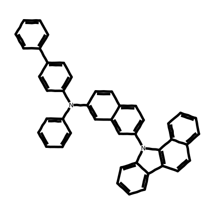 c1ccc(-c2ccc(N(c3ccccc3)c3ccc4ccc(-n5c6ccccc6c6ccc7ccccc7c65)cc4c3)cc2)cc1